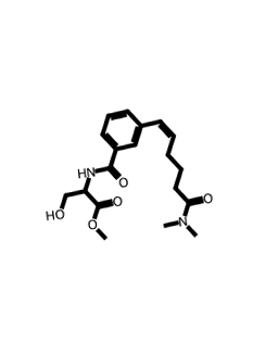 COC(=O)C(CO)NC(=O)c1cccc(/C=C\CCCC(=O)N(C)C)c1